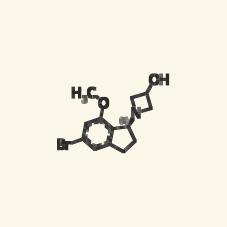 COc1cc(Br)cc2c1[C@@H](N1CC(O)C1)CC2